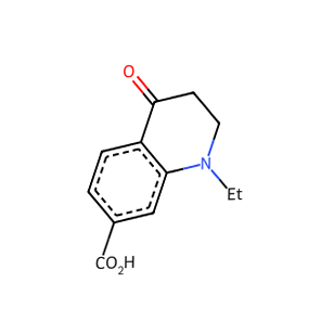 CCN1CCC(=O)c2ccc(C(=O)O)cc21